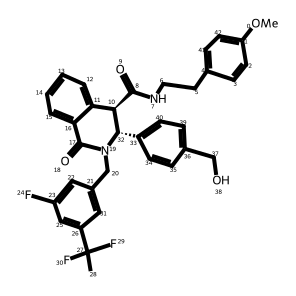 COc1ccc(CCNC(=O)[C@@H]2c3ccccc3C(=O)N(Cc3cc(F)cc(C(C)(F)F)c3)[C@H]2c2ccc(CO)cc2)cc1